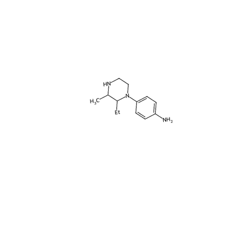 CCC1C(C)NCCN1c1ccc(N)cc1